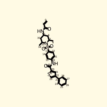 C=CC(=O)NC1CC(C)N(S(=O)(=O)c2ccc(NC(=O)c3cc(-c4ccccc4)cs3)cc2)C(C)C1